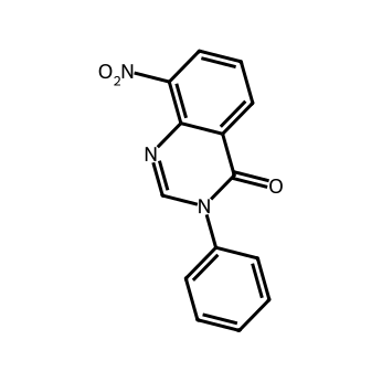 O=c1c2cccc([N+](=O)[O-])c2ncn1-c1ccccc1